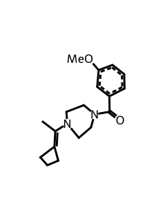 COc1cccc(C(=O)N2CCN(C(C)=C3CCC3)CC2)c1